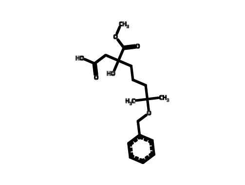 COC(=O)C(O)(CCCC(C)(C)OCc1ccccc1)CC(=O)O